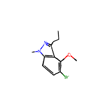 CCc1nn(C)c2ccc(Br)c(OC)c12